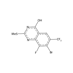 CSc1nc(O)c2cc(C(F)(F)F)c(Br)c(F)c2n1